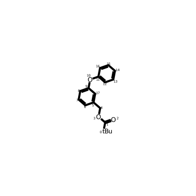 CC(C)(C)C(=O)OCc1cccc(Oc2ccccc2)c1